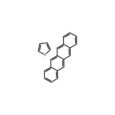 c1ccc2cc3cc4ccccc4cc3cc2c1.c1ccsc1